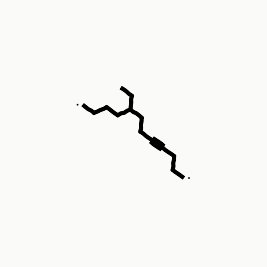 [CH2]CCC#CCCC(CC)CCC[CH2]